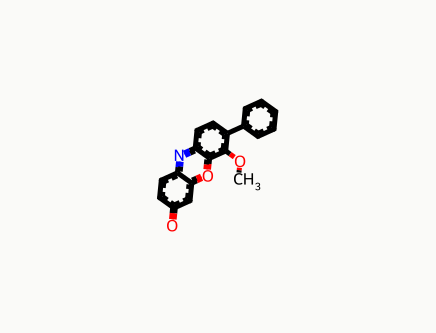 COc1c(-c2ccccc2)ccc2nc3ccc(=O)cc-3oc12